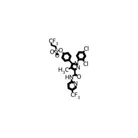 Cc1c(C(=O)Nc2ccc(C(F)(F)F)cn2)nn(-c2ccc(Cl)cc2Cl)c1-c1ccc(OS(=O)(=O)CCC(F)(F)F)cc1